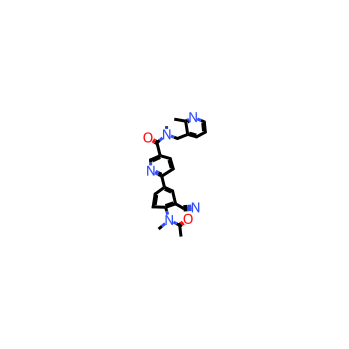 CC(=O)N(C)c1ccc(-c2ccc(C(=O)N(C)Cc3cccnc3C)cn2)cc1C#N